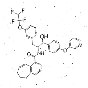 O=C(NC(Cc1cccc(OC(F)(F)C(F)F)c1)C(O)c1ccc(Oc2cccnc2)cc1)c1cccc2c1C=CCCC2